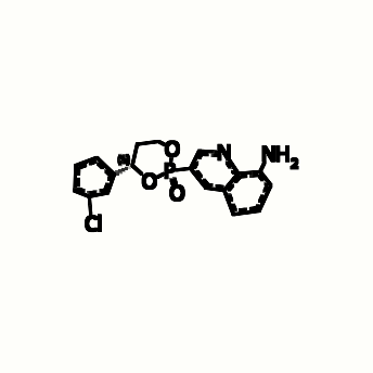 Nc1cccc2cc(P3(=O)OCC[C@@H](c4cccc(Cl)c4)O3)cnc12